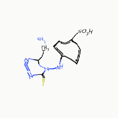 CC1N=NC(=S)N1Nc1ccc(S(=O)(=O)O)cc1.N